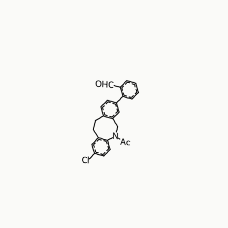 CC(=O)N1Cc2cc(-c3ccccc3C=O)ccc2CCc2cc(Cl)ccc21